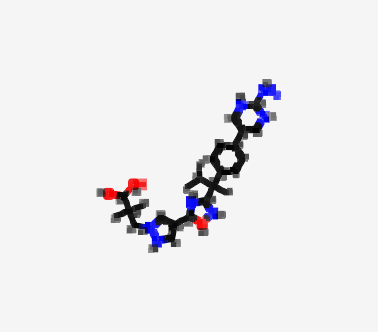 CC(C)C(C)(c1ccc(-c2cnc(N)nc2)cc1)c1noc(-c2cnn(CC(C)(C)C(=O)O)c2)n1